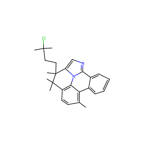 Cc1ccc2c3c1c1ccccc1c1ncc(n13)C(C)(CCC(C)(C)Cl)C2(C)C